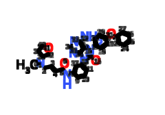 CN(CC=CC(=O)Nc1cccc(-n2c(=O)n(-c3ccc(Oc4ccccc4)cc3)c3c(N)ncnc32)c1)C1CCOC1